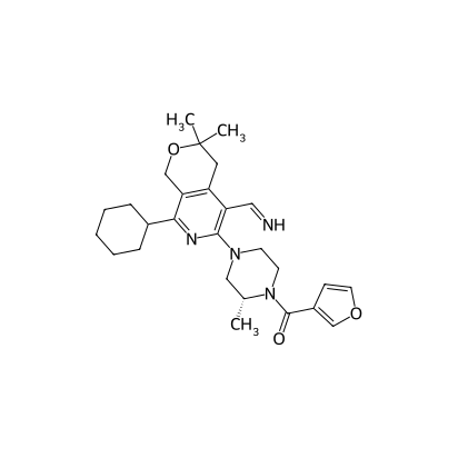 C[C@@H]1CN(c2nc(C3CCCCC3)c3c(c2C=N)CC(C)(C)OC3)CCN1C(=O)c1ccoc1